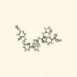 N#Cc1ccc(COc2cccc(N3C4CC(C4)C4C3CN4Cc3nc4ccc(C(=O)O)cc4n3CC3CCOC3)n2)c(F)c1